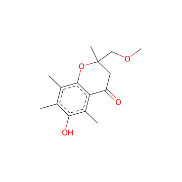 COCC1(C)CC(=O)c2c(C)c(O)c(C)c(C)c2O1